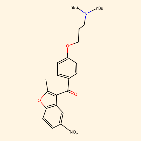 CCCCN(CCCC)CCCOc1ccc(C(=O)c2c(C)oc3ccc([N+](=O)[O-])cc23)cc1